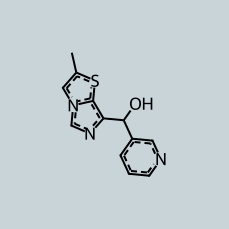 Cc1cn2cnc(C(O)c3cccnc3)c2s1